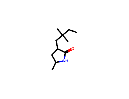 CCC(C)(C)CC1CC(C)NC1=O